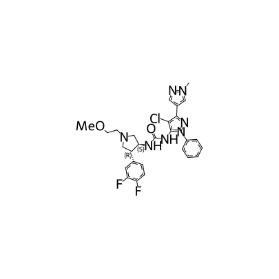 COCCN1C[C@@H](NC(=O)Nc2c(Cl)c(-c3cnn(C)c3)nn2-c2ccccc2)[C@H](c2ccc(F)c(F)c2)C1